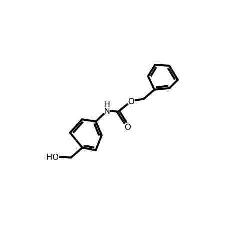 O=C(Nc1ccc(CO)cc1)OCc1ccccc1